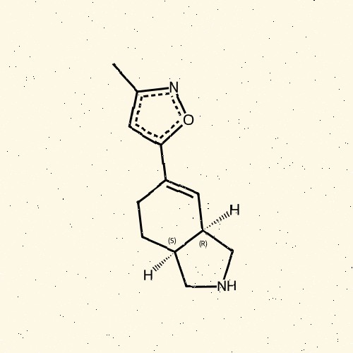 Cc1cc(C2=C[C@H]3CNC[C@H]3CC2)on1